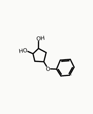 OC1CC(Oc2c[c]ccc2)CC1O